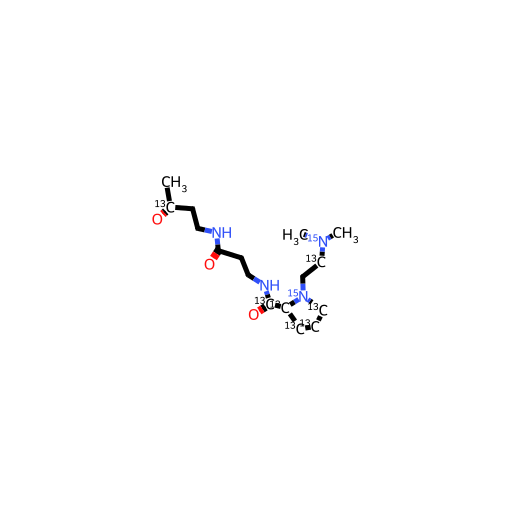 C[13C](=O)CCNC(=O)CCN[13C](=O)[13CH]1[13CH2][13CH2][13CH2][15N]1C[13CH2][15N](C)C